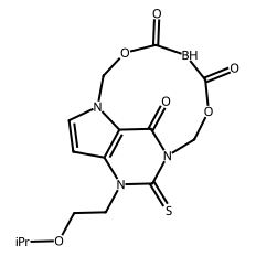 CC(C)OCCn1c(=S)n2c(=O)c3c1ccn3COC(=O)BC(=O)OC2